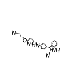 N#CCCCOc1ccc(CNc2ccc(-c3c(C#N)[nH]c4ccccc34)cc2)cn1